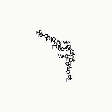 COCCn1c(Cc2cc(F)c(-c3cccc(OCc4ccc(-c5cnn(C(F)F)c5)cc4F)n3)cc2F)nc2ccc(C(=O)OC(=O)c3ccc4nc(Cc5cc(F)c(-c6cccc(OCc7ccc(-c8cnn(C(F)F)c8)cc7F)n6)cc5F)n(CCOC)c4c3)cc21